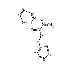 C=C([I+]c1ccccc1)C(=O)OCc1ccccc1